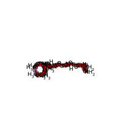 CO[C@H]1C[C@@H]2CC[C@@H](C)[C@@](O)(O2)C(=O)C(=O)N2CCCC[C@H]2C(=O)O[C@H]([C@H](C)C[C@@H]2CC[C@@H](OC(=O)NCc3cnc(N4CCN(C(=O)CCOCCN5CCN(c6ncc(C(=O)NCCOCCC(=O)N7CCc8cc(Cn9nc(-c%10ccc%11oc(N)nc%11c%10)c%10c(N)ncnc%109)ccc8C7)cn6)CC5)CC4)nc3)[C@H](OC)C2)C[C@@H](OC)[C@H](C)/C=C(\C)[C@@H](O)[C@@H](O)C(=O)[C@H](C)C[C@H](C)/C=C/C=C/C=C/1C